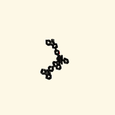 c1ccc(-c2nc(-c3ccc(-c4ccc5sc6ccccc6c5c4)cc3)cc(-c3ccc(-c4ccc(-n5c6ccccc6c6ccccc65)cc4)c4ccccc34)n2)cc1